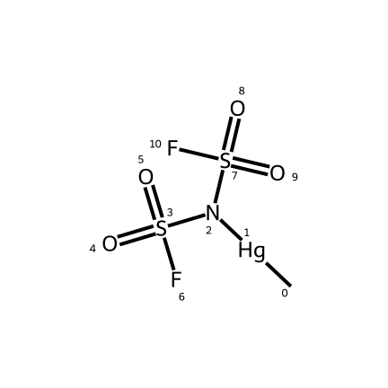 [CH3][Hg][N](S(=O)(=O)F)S(=O)(=O)F